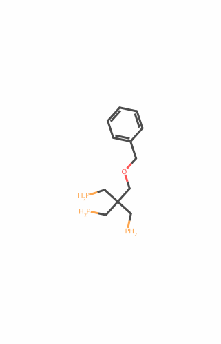 PCC(CP)(CP)COCc1ccccc1